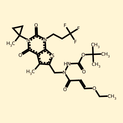 CCO/C=C/C(=O)N(Cc1sc2c(c1C)c(=O)n(C1(C)CC1)c(=O)n2CCC(F)(F)F)NC(=O)OC(C)(C)C